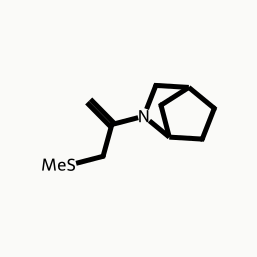 C=C(CSC)N1CC2CCC1C2